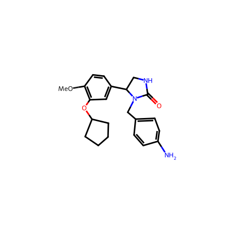 COc1ccc(C2CNC(=O)N2Cc2ccc(N)cc2)cc1OC1CCCC1